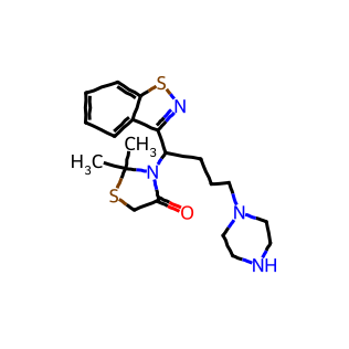 CC1(C)SCC(=O)N1C(CCCN1CCNCC1)c1nsc2ccccc12